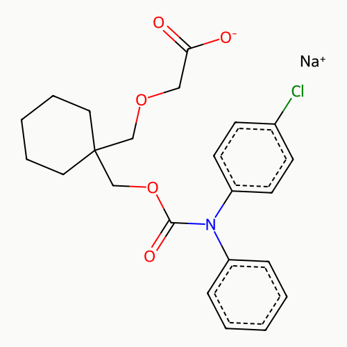 O=C([O-])COCC1(COC(=O)N(c2ccccc2)c2ccc(Cl)cc2)CCCCC1.[Na+]